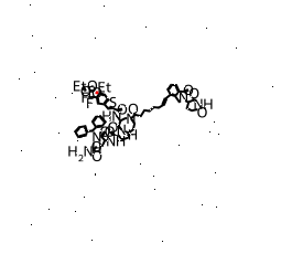 CCOP(=O)(OCC)C(F)(F)c1ccc2sc(C(=O)N[C@H]3CN(C(=O)CCCCCC#Cc4cccc5c4CN(C4CCC(=O)NC4=O)C5=O)CC[C@H]4CC[C@@H](C(=O)NC(COC(N)=O)C(=O)NC(c5ccccc5)c5ccccc5)N4C3=O)cc2c1